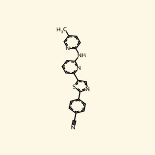 Cc1ccc(Nc2cccc(-c3cnc(-c4ccc(C#N)cc4)s3)n2)nc1